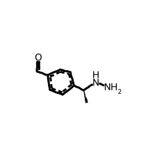 C[C@H](NN)c1ccc(C=O)cc1